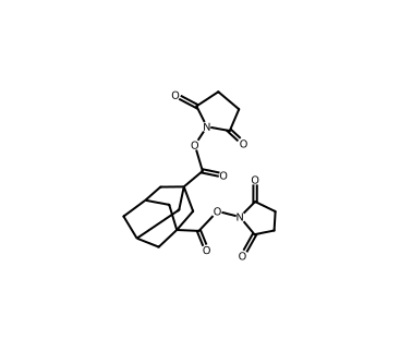 O=C1CCC(=O)N1OC(=O)C12CC3CC(C1)CC(C(=O)ON1C(=O)CCC1=O)(C3)C2